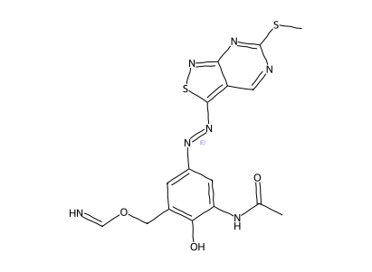 CSc1ncc2c(/N=N/c3cc(COC=N)c(O)c(NC(C)=O)c3)snc2n1